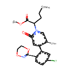 COCCC(C(=O)OC(C)(C)C)n1cc(OC)c(-c2cc(Cl)ccc2C2=NOCCO2)cc1=O